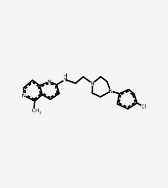 Cc1nccc2nc(NCCN3CCN(c4ccc(Cl)cc4)CC3)ccc12